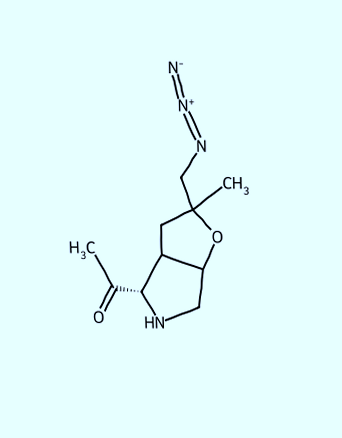 CC(=O)[C@H]1NCC2OC(C)(CN=[N+]=[N-])CC21